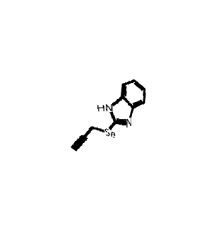 C#CC[Se]c1nc2ccccc2[nH]1